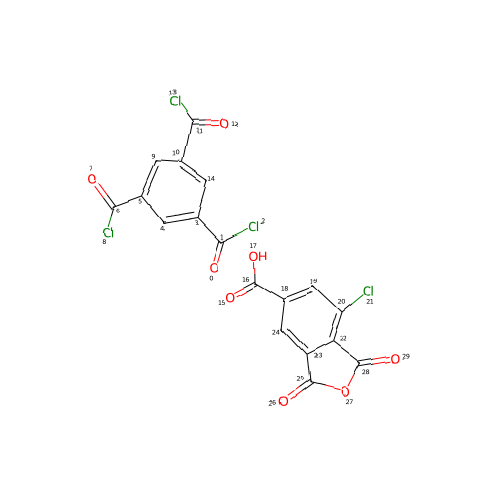 O=C(Cl)c1cc(C(=O)Cl)cc(C(=O)Cl)c1.O=C(O)c1cc(Cl)c2c(c1)C(=O)OC2=O